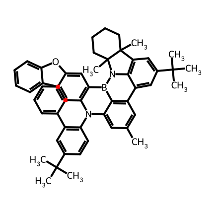 Cc1cc2c3c(c1)N(c1ccc(C(C)(C)C)cc1-c1ccccc1)c1cc4c(cc1B3N1c3c-2cc(C(C)(C)C)cc3C2(C)CCCCC12C)oc1ccccc14